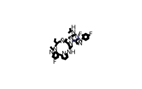 C=N/C(=C1/C=NN(c2ccc(F)cc2F)/C1=N/C(=C)NC(C)C)N1CC2CC1C(=C)N(C)CC(CC)Cn1c(C)nc3cc(F)cc(c31)-c1cccc(n1)N2